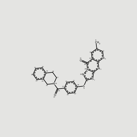 Cc1cnc2nc3sc(Sc4ccc(C(=O)N5CCc6ccccc6C5)cc4)nn3c(=O)c2c1